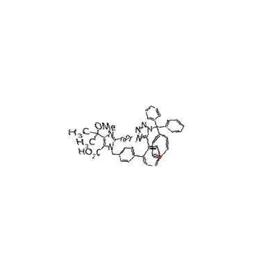 CCCc1nc(C(C)(C)OC)c(C(=O)O)n1Cc1ccc(-c2ccccc2-c2nnnn2C(c2ccccc2)(c2ccccc2)c2ccccc2)cc1